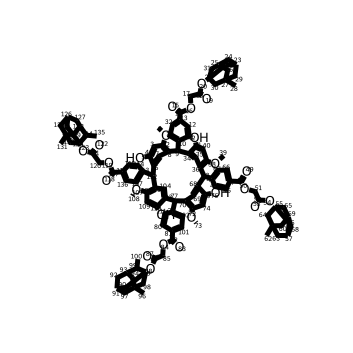 COc1cc(O)c2cc1C(c1ccc(C(=O)OCC(=O)OC34CC5CC(CC(C)(C5)C3)C4)cc1)c1cc(c(OC)cc1O)C(c1ccc(C(=O)OCC(=O)OC34CC5CC(CC(C)(C5)C3)C4)cc1)c1cc(c(OC)cc1O)C(c1ccc(C(=O)OCC(=O)OC34CC5CC(CC(C)(C5)C3)C4C)cc1)c1cc(c(OC)cc1O)C2c1ccc(C(=O)OCC(=O)OC23CC4CC(CC(C)(C4)C2)C3C)cc1